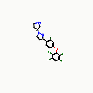 Fc1cc(Oc2c(F)c(F)cc(F)c2F)ccc1-c1ccn([C@@H]2CCNC2)n1